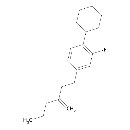 C=C(CCC)CCc1ccc(C2CCCCC2)c(F)c1